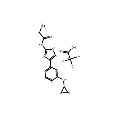 NCC(=O)Nc1nc(-c2cccc(OC3CC3)c2)cs1.O=C(O)C(F)(F)F